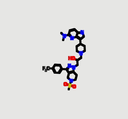 CN(C)c1ccc2c(n1)=C(C1CCN(CC(O)Cn3nc(-c4ccc(C(F)(F)F)cc4)c4c3CCN(S(C)(=O)=O)C4)CC1)CN=2